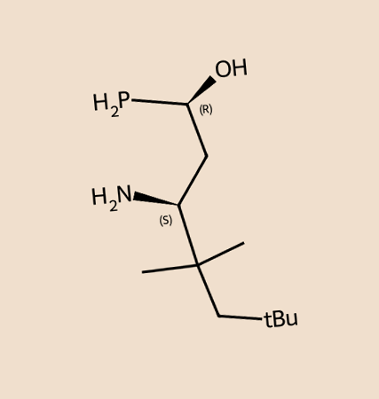 CC(C)(C)CC(C)(C)[C@@H](N)C[C@H](O)P